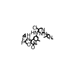 CC1C=C(Nc2nc(N3C4CN(C)CC43C)ncc2Cl)C=C2C3=C(OCC(F)(F)[C@H](C4CC4)N3)C(=O)N(C)C21